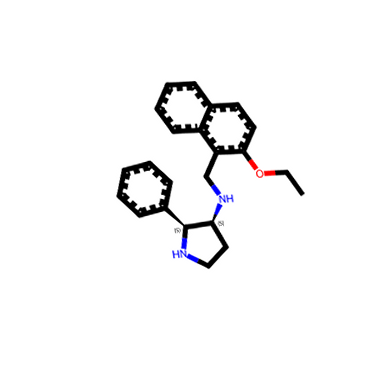 CCOc1ccc2ccccc2c1CN[C@H]1CCN[C@H]1c1ccccc1